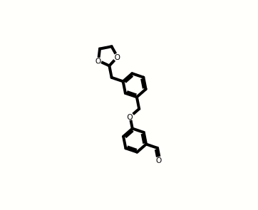 O=Cc1cccc(OCc2cccc(CC3OCCO3)c2)c1